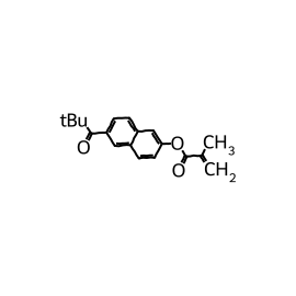 C=C(C)C(=O)Oc1ccc2cc(C(=O)C(C)(C)C)ccc2c1